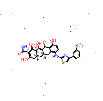 NC(=O)C1=C(O)C[C@@H]2C[C@@H]3Cc4c(Nc5nc(-c6cccc([N+](=O)[O-])c6)cs5)ccc(O)c4C(=O)C3=C(O)[C@]2(O)C1=O